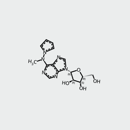 CN(c1ncnc2c1ncn2[C@@H]1O[C@H](CO)[C@@H](O)[C@H]1O)n1cccc1